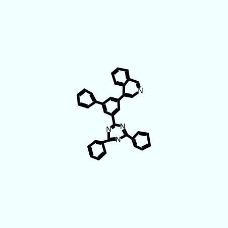 c1ccc(-c2cc(-c3nc(-c4ccccc4)nc(-c4ccccc4)n3)cc(-c3cncc4ccccc34)c2)cc1